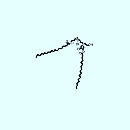 CCCCCCCCCCCCCCCCCC(=O)NCCC[N+](C)(C)CC(O)C[N+](CCO)(CCO)CCOC(=O)CCCCCCCCCCCCCCCCC